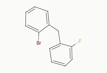 Fc1ccccc1Cc1ccccc1Br